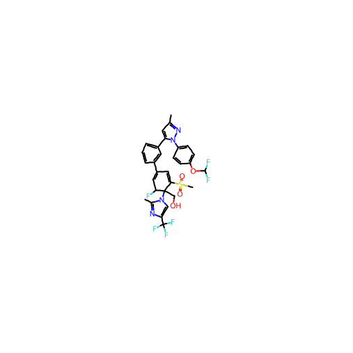 Cc1cc(-c2cccc(C3=CC(F)C(CO)(n4cc(C(F)(F)F)nc4C)C(S(C)(=O)=O)=C3)c2)n(-c2ccc(OC(F)F)cc2)n1